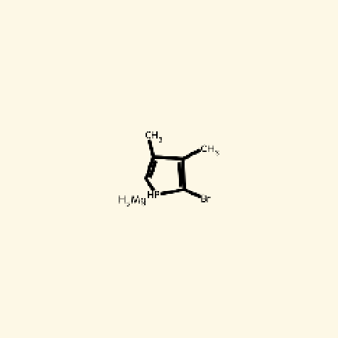 Cc1c[pH]c(Br)c1C.[MgH2]